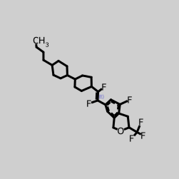 CCCCC1CCC(C2CCC(/C(F)=C(\F)c3cc(F)c4c(c3)COC(C(F)(F)F)C4)CC2)CC1